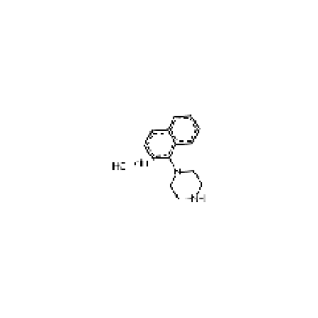 Cl.Cl.c1ccc2c(N3CCNCC3)cccc2c1